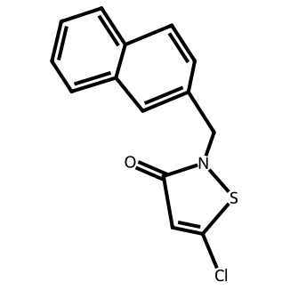 O=c1cc(Cl)sn1Cc1ccc2ccccc2c1